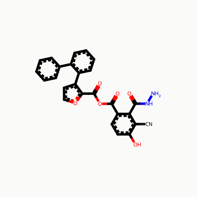 N#Cc1c(O)ccc(C(=O)OC(=O)c2occc2-c2ccccc2-c2ccccc2)c1C(=O)NN